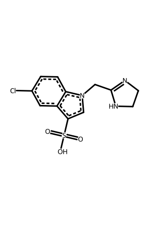 O=S(=O)(O)c1cn(CC2=NCCN2)c2ccc(Cl)cc12